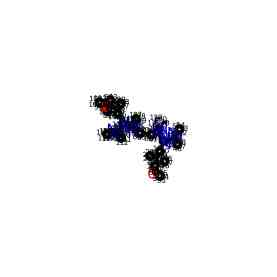 C=Cc1nc2n(-c3cc(-c4ccc([Si](c5ccccc5)(c5ccccc5)c5ccc6oc7ccccc7c6c5)cc4)nc(-n4c5ccccc5n5c6ccccc6nc45)n3)c3ccc(-c4ccc5nc6n(-c7nc(-c8ccc([Si](c9ccccc9)(c9ccccc9)c9cccc%10c9oc9ccccc9%10)cc8)cc(-n8c9ccccc9n9c%10ccccc%10nc89)n7)c7ccccc7n6c5c4)cc3n2c1/C=C\C